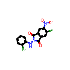 O=C1c2cc(F)c([N+](=O)[O-])cc2C(=O)N1Nc1ccccc1Br